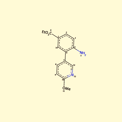 CCOC(=O)c1ccc(N)c(-c2ccc(OC)nc2)c1